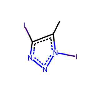 Cc1c(I)nnn1I